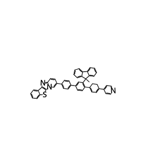 CC1(c2cc(-c3ccc(-c4ccc5nc6c7ccccc7sc6n5c4)cc3)ccc2C2=CC=C(c3ccncc3)CC2)c2ccccc2-c2ccccc21